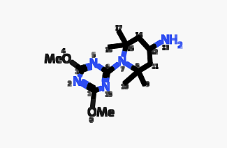 COc1nc(OC)nc(N2C(C)(C)CC(N)CC2(C)C)n1